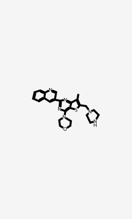 Cc1c(CN2CCNCC2)sc2c(N3CCOCC3)nc(-c3cnc4ccccc4c3)nc12